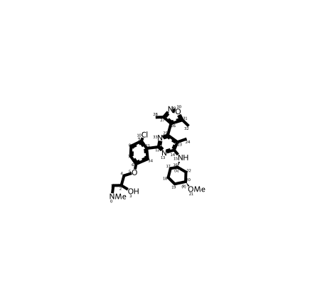 CNCC(O)COc1ccc(Cl)c(-c2nc(N[C@H]3CCC[C@@H](OC)C3)c(C)c(-c3c(C)noc3C)n2)c1